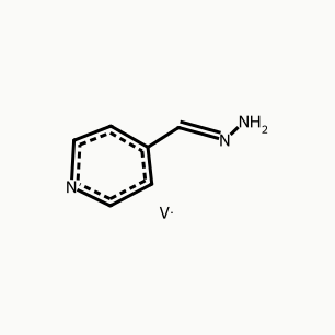 NN=Cc1ccncc1.[V]